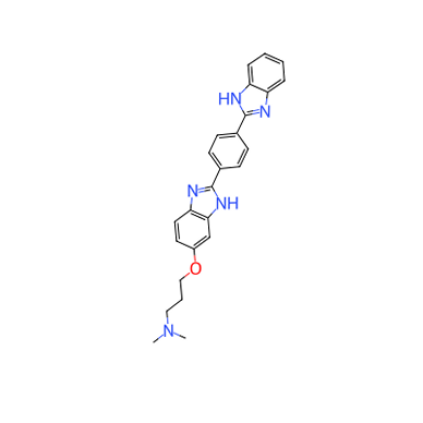 CN(C)CCCOc1ccc2nc(-c3ccc(-c4nc5ccccc5[nH]4)cc3)[nH]c2c1